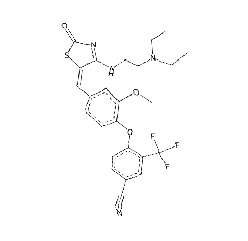 CCN(CC)CCNC1=NC(=O)SC1=Cc1ccc(Oc2ccc(C#N)cc2C(F)(F)F)c(OC)c1